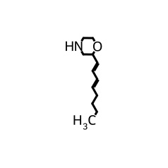 CCCCC=CC=CC1CNCCO1